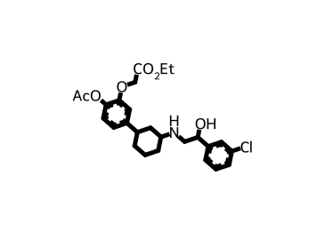 CCOC(=O)COc1cc(C2CCCC(NCC(O)c3cccc(Cl)c3)C2)ccc1OC(C)=O